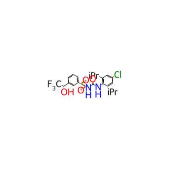 CC(C)c1cc(Cl)cc(C(C)C)c1NC(=O)NS(=O)(=O)c1cccc(C(O)C(F)(F)F)c1